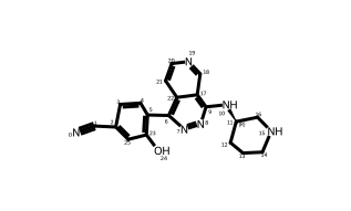 N#Cc1ccc(-c2nnc(N[C@@H]3CCCNC3)c3cnccc23)c(O)c1